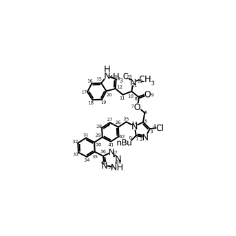 CCCCc1nc(Cl)c(COC(=O)C(Cc2c[nH]c3ccccc23)N(C)C)n1Cc1ccc(-c2ccccc2-c2nn[nH]n2)cc1